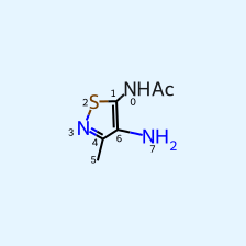 CC(=O)Nc1snc(C)c1N